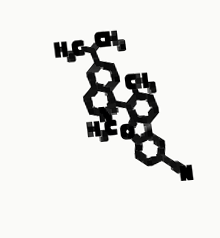 Cc1ccc2c(oc3ccc(C#N)cc32)c1-c1c2ccc(C(C)C)cc2cc[n+]1C